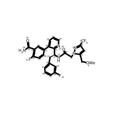 COCc1cc(C(F)(F)F)nn1CC(=O)N[C@@H](Cc1cccc(F)c1)c1ncccc1-c1ccc(F)c(C(N)=O)c1